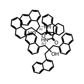 O=C(N[C@@H](c1cccc2ccccc12)C(O)(Cc1cccc2ccccc12)Cc1cccc2ccccc12)C1(C(=O)N[C@@H](c2cccc3ccccc23)C(O)(Cc2cccc3ccccc23)Cc2cccc3ccccc23)CCCCC1